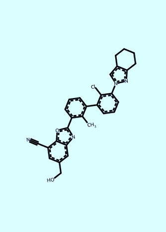 Cc1c(-c2nc3cc(CO)cc(C#N)c3o2)cccc1-c1cccc(-n2cc3c(n2)CCCC3)c1Cl